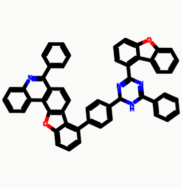 c1ccc(C2=NC(c3cccc4oc5ccccc5c34)=NC(c3ccc(-c4cccc5oc6c(ccc7c(-c8ccccc8)nc8ccccc8c76)c45)cc3)N2)cc1